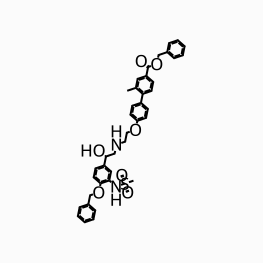 Cc1cc(C(=O)OCc2ccccc2)ccc1-c1ccc(OCCNC[C@@H](O)c2ccc(OCc3ccccc3)c(NS(C)(=O)=O)c2)cc1